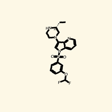 CC[C@@H]1CN(c2cn(S(=O)(=O)c3cccc(OC(F)F)c3)c3cccnc23)CCN1